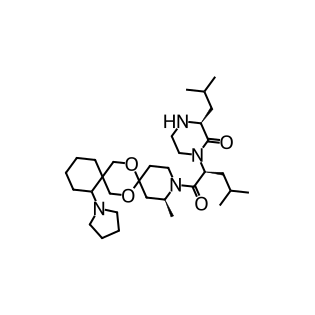 CC(C)C[C@@H]1NCCN([C@@H](CC(C)C)C(=O)N2CCC3(C[C@@H]2C)OCC2(CCCCC2N2CCCC2)CO3)C1=O